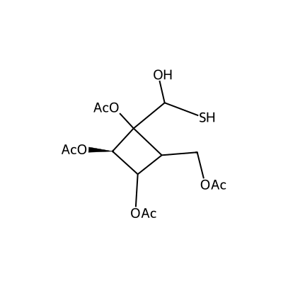 CC(=O)OCC1C(OC(C)=O)[C@@H](OC(C)=O)C1(OC(C)=O)C(O)S